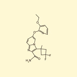 CCOc1cccnc1Oc1ccc2nc(C(N)=O)c(C3(C)CC(F)(F)C3)n2c1